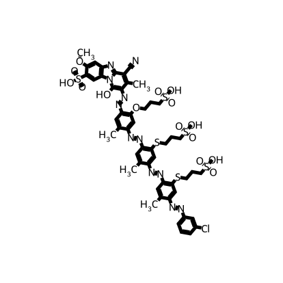 COc1cc2nc3c(C#N)c(C)c(N=Nc4cc(C)c(N=Nc5cc(C)c(N=Nc6cc(C)c(N=Nc7cccc(Cl)c7)cc6SCCCS(=O)(=O)O)cc5SCCCS(=O)(=O)O)cc4OCCCS(=O)(=O)O)c(O)n3c2cc1S(=O)(=O)O